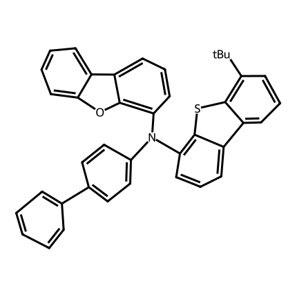 CC(C)(C)c1cccc2c1sc1c(N(c3ccc(-c4ccccc4)cc3)c3cccc4c3oc3ccccc34)cccc12